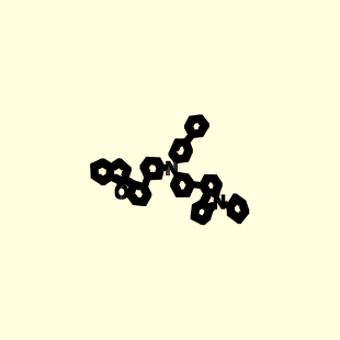 c1ccc(-c2ccc(N(c3cccc(-c4cccc5oc6c7ccccc7ccc6c45)c3)c3cccc(-c4cccc5c4c4ccccc4n5-c4ccccc4)c3)cc2)cc1